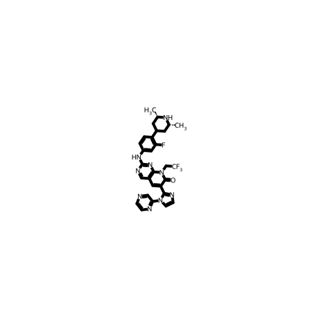 C[C@@H]1CC(c2ccc(Nc3ncc4cc(-c5nccn5-c5cnccn5)c(=O)n(CC(F)(F)F)c4n3)cc2F)C[C@H](C)N1